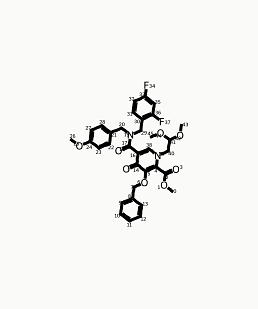 COC(=O)c1c(OCc2ccccc2)c(=O)c(C(=O)N(Cc2ccc(OC)cc2)Cc2ccc(F)cc2F)cn1CC(OC)OC